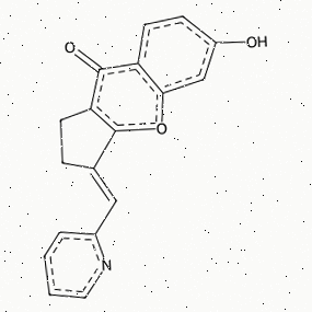 O=c1c2c(oc3cc(O)ccc13)/C(=C/c1ccccn1)CC2